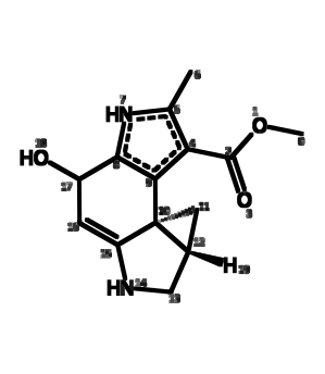 COC(=O)c1c(C)[nH]c2c1[C@@]13C[C@@H]1CNC3=CC2O